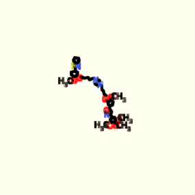 COc1ccc(-c2nc3ccccc3s2)cc1OCCCCCN1CCN(CCCCCOc2cc(C3CC(c4cc(OC)c(OC)c(OC)c4)=NO3)ccc2OC)CC1